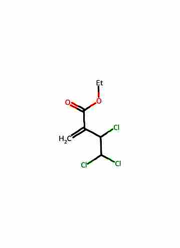 C=C(C(=O)OCC)C(Cl)C(Cl)Cl